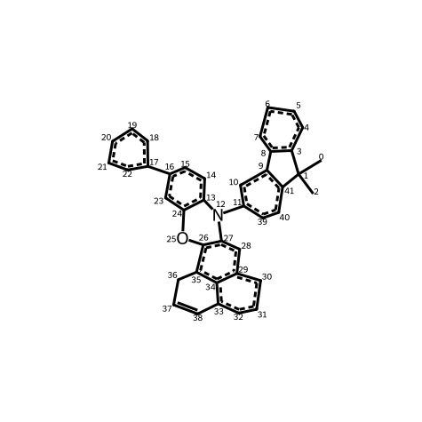 CC1(C)c2ccccc2-c2cc(N3c4ccc(-c5ccccc5)cc4Oc4c3cc3cccc5c3c4CC=C5)ccc21